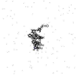 C=C1C[C@H](CCC=O)O[C@H]1CC[C@H]1C[C@@H](C)C(=C)[C@@H](C[C@@H]2O[C@H](C[C@H]3CNC(=O)O3)[C@H](OC)[C@H]2C(C(=O)C[C@H]2CCC3O[C@@H]([C@H](/C=C/I)O[Si](C)(C)C(C)(C)C)[C@@H](O[Si](C)(C)C(C)(C)C)[C@@H](O)[C@H]3O2)S(=O)(=O)c2ccccc2)O1